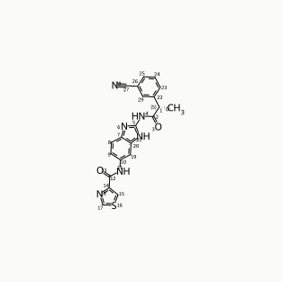 C[C@H](C(=O)Nc1nc2ccc(NC(=O)c3cscn3)cc2[nH]1)c1cccc(C#N)c1